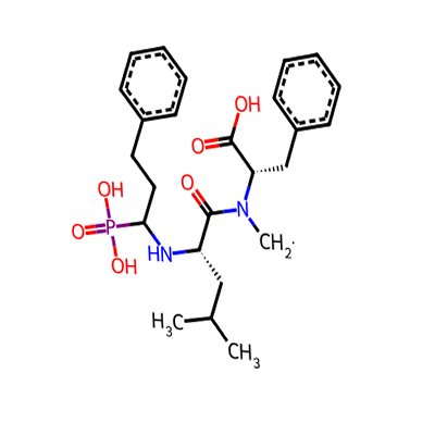 [CH2]N(C(=O)[C@H](CC(C)C)NC(CCc1ccccc1)P(=O)(O)O)[C@@H](Cc1ccccc1)C(=O)O